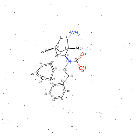 N[C@H]1C[C@@H]2C[C@H]1[C@@H](N(C(=O)O)C(Cc1ccccc1)c1ccccc1)C2